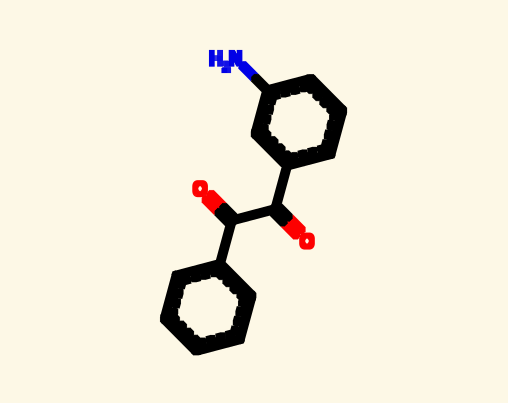 Nc1cccc(C(=O)C(=O)c2ccccc2)c1